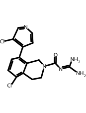 NC(N)=NC(=O)N1CCc2c(Cl)ccc(-c3ccncc3Cl)c2C1